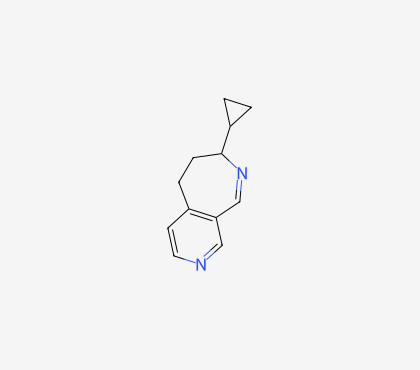 C1=NC(C2CC2)CCc2ccncc21